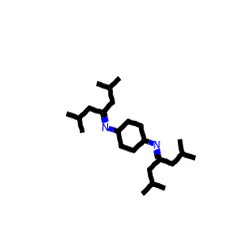 CC(C)CC(CC(C)C)=NC1CCC(N=C(CC(C)C)CC(C)C)CC1